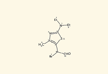 CCN(CC)c1nc(C)c(C(Br)C=O)s1